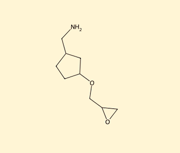 NCC1CCC(OCC2CO2)C1